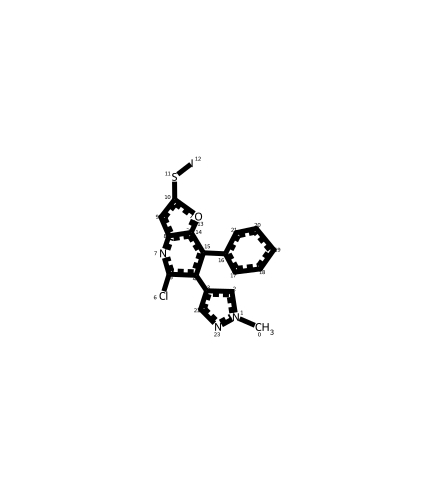 Cn1cc(-c2c(Cl)nc3cc(SI)oc3c2-c2ccccc2)cn1